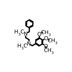 COc1cc(CN(C)CCN(C)Cc2ccccc2)cc(OC)c1OC